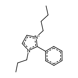 CCCC[n+]1ccn(CCC)c1-c1ccccc1